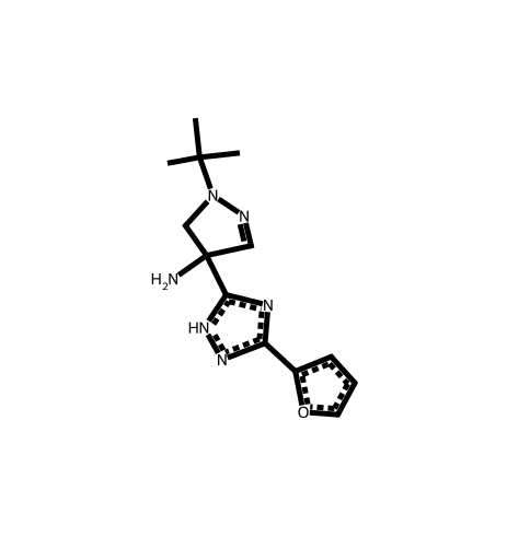 CC(C)(C)N1CC(N)(c2nc(-c3ccco3)n[nH]2)C=N1